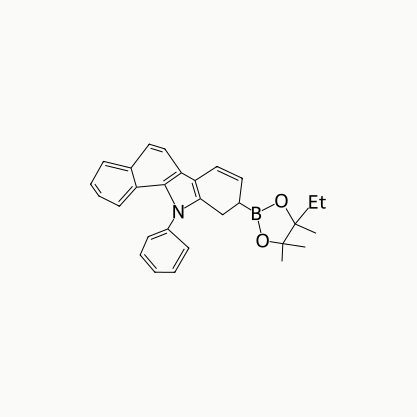 CCC1(C)OB(C2C=Cc3c(n(-c4ccccc4)c4c3ccc3ccccc34)C2)OC1(C)C